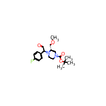 COC[C@@H]1CN(C(=O)OC(C)(C)C)CCN1C(C=O)c1ccc(F)cc1